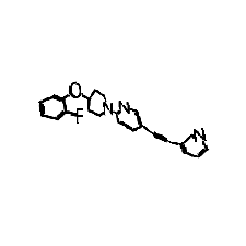 Fc1ccccc1OC1CCN(c2ccc(C#Cc3cccnc3)cn2)CC1